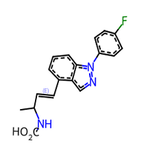 CC(/C=C/c1cccc2c1cnn2-c1ccc(F)cc1)NC(=O)O